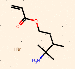 Br.C=CC(=O)OCCC(C)C(C)(C)N